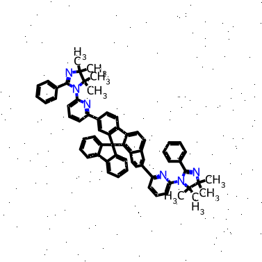 CC1(C)N=C(c2ccccc2)N(c2cccc(-c3ccc4c(c3)C3(c5ccccc5-c5ccccc53)c3c-4ccc4cc(-c5cccc(N6C(c7ccccc7)=NC(C)(C)C6(C)C)n5)ccc34)n2)C1(C)C